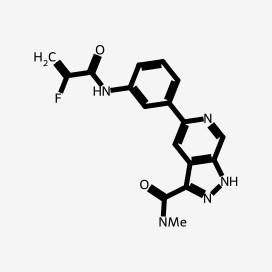 C=C(F)C(=O)Nc1cccc(-c2cc3c(C(=O)NC)n[nH]c3cn2)c1